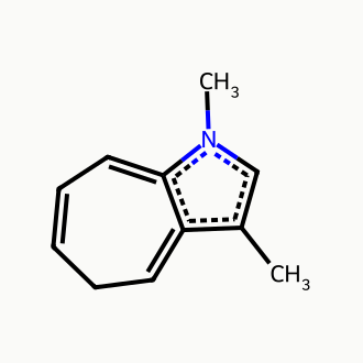 Cc1cn(C)c2c1=CCC=CC=2